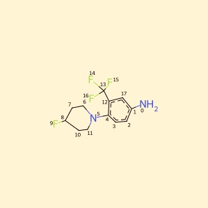 Nc1ccc(N2CCC(F)CC2)c(C(F)(F)F)c1